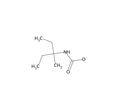 CCC(C)(CC)NC([O])=O